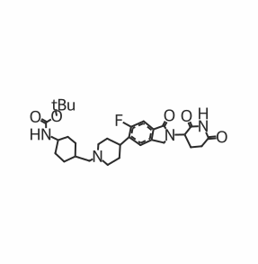 CC(C)(C)OC(=O)NC1CCC(CN2CCC(c3cc4c(cc3F)C(=O)N(C3CCC(=O)NC3=O)C4)CC2)CC1